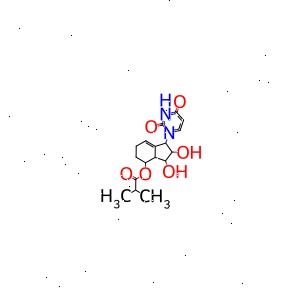 CC(C)C(=O)OC1CCC=C2C1C(O)C(O)C2n1ccc(=O)[nH]c1=O